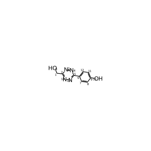 OCc1nnc(-c2ccc(O)cc2)nn1